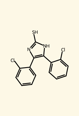 Sc1nc(-c2ccccc2Cl)c(-c2ccccc2Cl)[nH]1